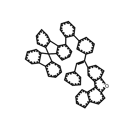 C(=C(\c1cccc(-c2ccccc2-c2cccc3c2-c2ccccc2C32c3ccccc3-c3ccccc32)c1)c1ccc2oc3ccc4ccccc4c3c2c1)/c1ccccc1